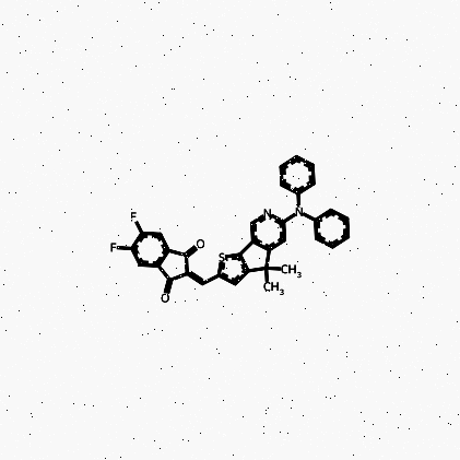 CC1(C)c2cc(N(c3ccccc3)c3ccccc3)ncc2-c2sc(C=C3C(=O)c4cc(F)c(F)cc4C3=O)cc21